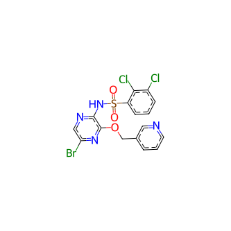 O=S(=O)(Nc1ncc(Br)nc1OCc1cccnc1)c1cccc(Cl)c1Cl